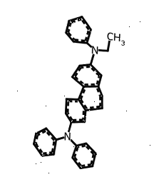 CCN(c1ccccc1)c1ccc2c(ccc3cc(N(c4ccccc4)c4ccccc4)ccc32)c1